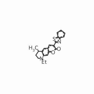 CCN1CCC(C)c2cc3cc(-c4nc5ccccc5s4)c(=O)oc3cc21